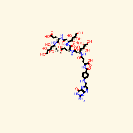 CC[C@@H](NC(=O)[C@H](CCC(=O)O)NC(=O)C[C@@H](NC(=O)[C@H](CCC(=O)O)NC(=O)C[C@@H](NC(=O)CC[C@H](NC(=O)c1ccc(NCc2cnc3nc(N)[nH]c(=O)c3n2)cc1)C(=O)O)[C@@H](O)[C@H](O)[C@H](O)CO)[C@@H](O)[C@H](O)[C@H](O)CO)[C@@H](O)[C@H](O)[C@H](O)CO